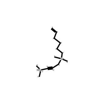 C=CCCCC[Si](C)(C)CC#C[SiH](C)C